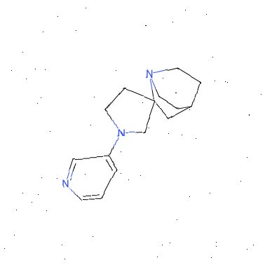 c1cncc(N2CCC3(CC4CCN3CC4)C2)c1